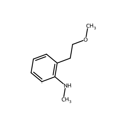 CNc1[c]cccc1CCOC